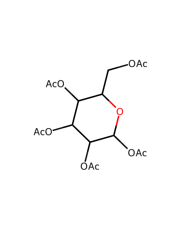 CC(=O)OCC1OC(OC(C)=O)C(OC(C)=O)C(OC(C)=O)C1OC(C)=O